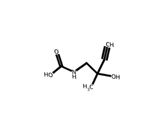 C#CC(C)(O)CNC(=O)O